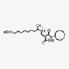 CCCCCCCCCCCCCCCCCC(C)NCN1C(=O)NC(C2CCCCCCC2)C1=O